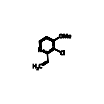 C=Cc1nccc(OC)c1Cl